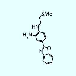 CSCCNc1ccc(-c2nc3ccccc3o2)cc1N